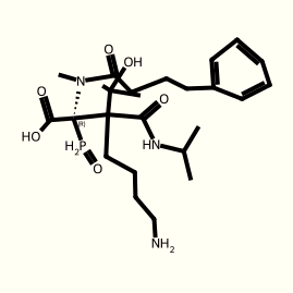 CC(C)NC(=O)C(CCCCN)(C(C)(C)O)[C@@]([PH2]=O)(C(=O)O)N(C)C(=O)CCCc1ccccc1